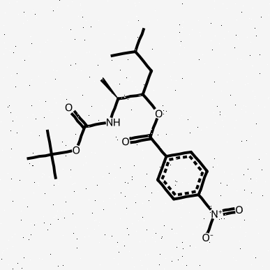 CC(C)CC(OC(=O)c1ccc([N+](=O)[O-])cc1)[C@H](C)NC(=O)OC(C)(C)C